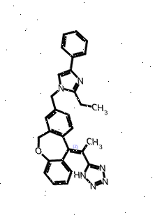 CCc1nc(-c2ccccc2)cn1Cc1ccc2c(c1)COc1ccccc1/C2=C(/C)c1nnn[nH]1